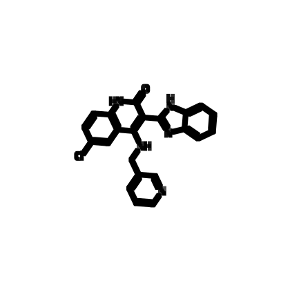 O=c1[nH]c2ccc(Cl)cc2c(NCc2cccnc2)c1-c1nc2ccccc2[nH]1